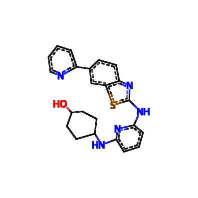 OC1CCC(Nc2cccc(Nc3nc4ccc(-c5ccccn5)cc4s3)n2)CC1